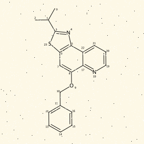 CC(C)c1nc2c(cc(OCc3ccccc3)c3ncccc32)s1